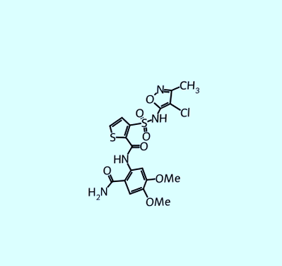 COc1cc(NC(=O)c2sccc2S(=O)(=O)Nc2onc(C)c2Cl)c(C(N)=O)cc1OC